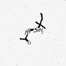 CCC(C)(C)[SiH2]NC(C)=O